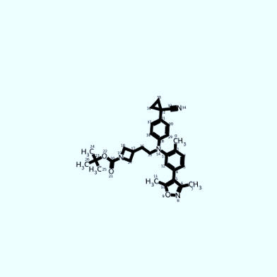 Cc1ccc(-c2c(C)noc2C)cc1N(CCC1CN(C(=O)OC(C)(C)C)C1)c1ccc(C2(C#N)CC2)cc1